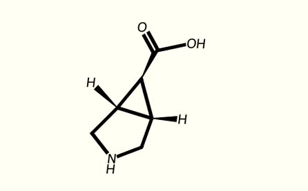 O=C(O)[C@H]1[C@@H]2CNC[C@@H]21